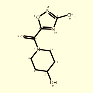 Cc1noc(C(=O)N2CCC(O)CC2)n1